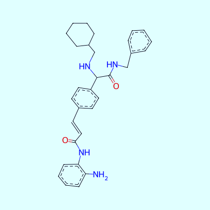 Nc1ccccc1NC(=O)/C=C/c1ccc(C(NCC2CCCCC2)C(=O)NCc2ccccc2)cc1